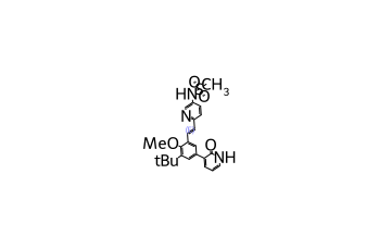 COc1c(/C=C/c2ccc(NS(C)(=O)=O)cn2)cc(-c2ccc[nH]c2=O)cc1C(C)(C)C